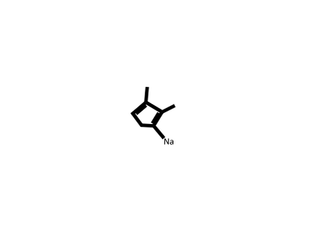 CC1=CC[C]([Na])=C1C